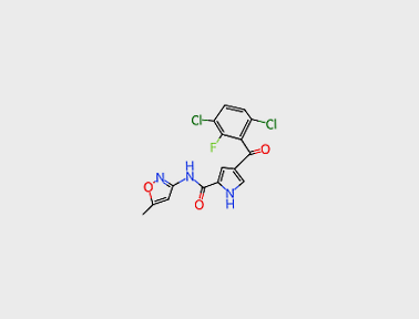 Cc1cc(NC(=O)c2cc(C(=O)c3c(Cl)ccc(Cl)c3F)c[nH]2)no1